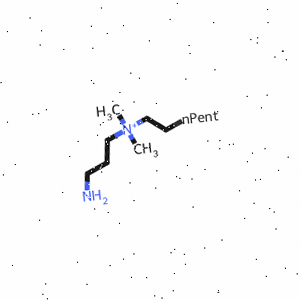 CCCCCCC[N+](C)(C)CCCN